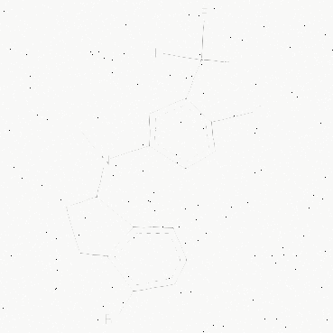 CN(c1ccc(Cl)c(C(F)(F)F)c1)C1CCc2c(Br)cccc21